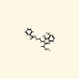 CC(N)c1nc2cccc(Cl)c2c(=O)n1CCCOC(=O)c1ccccc1